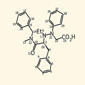 CCN([C@@H](Cc1ccccc1)C(=O)N(C)Cc1ccccc1)N(CC(=O)O)c1ccccc1